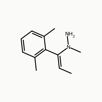 C/C=C(/c1c(C)cccc1C)N(C)N